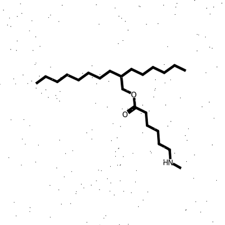 CCCCCCCCC(CCCCCC)COC(=O)CCCCCNC